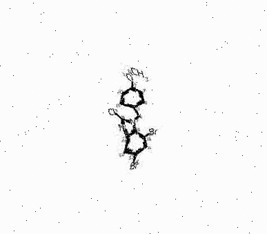 COc1ccc(Cn2c(Cl)nc3cc(Br)cc(Br)c32)cc1